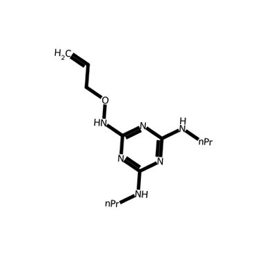 C=CCONc1nc(NCCC)nc(NCCC)n1